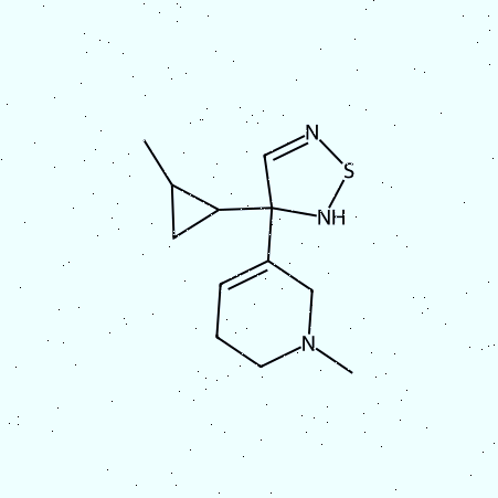 CC1CC1C1(C2=CCCN(C)C2)C=NSN1